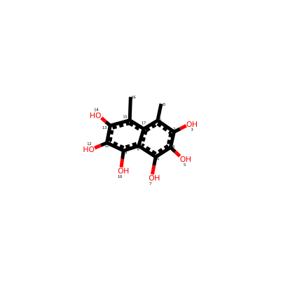 Cc1c(O)c(O)c(O)c2c(O)c(O)c(O)c(C)c12